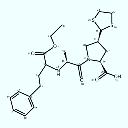 CCOC(=O)C(CCc1ccccc1)N[C@@H](C)C(=O)N1C[C@@H](C2SCCS2)C[C@H]1C(=O)O